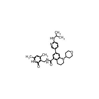 Cc1cc(C)c(CNC(=O)c2cc(-c3ccc(NC(C)C)nc3)cc3c2CCCN3C2CCOCC2)c(=O)[nH]1